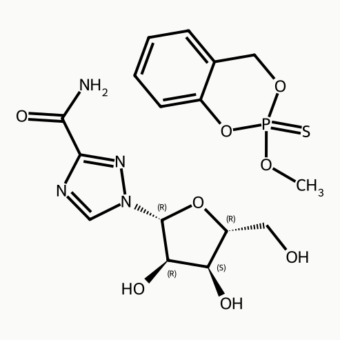 COP1(=S)OCc2ccccc2O1.NC(=O)c1ncn([C@@H]2O[C@H](CO)[C@@H](O)[C@H]2O)n1